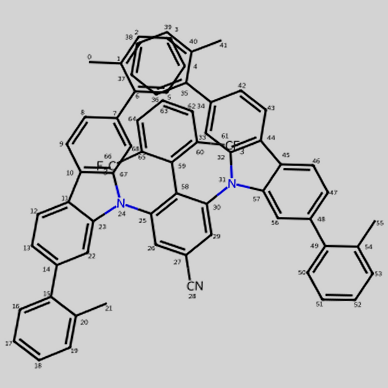 Cc1ccccc1-c1ccc2c3ccc(-c4ccccc4C)cc3n(-c3cc(C#N)cc(-n4c5cc(-c6ccccc6C)ccc5c5ccc(-c6ccccc6C)cc54)c3-c3c(C(F)(F)F)cccc3C(F)(F)F)c2c1